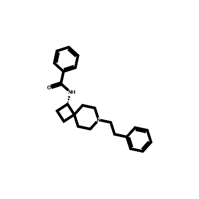 O=C(N[C@H]1CCC12CCN(CCc1ccccc1)CC2)c1ccccc1